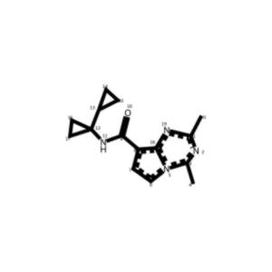 Cc1nc(C)n2ccc(C(=O)NC3(C4CC4)CC3)c2n1